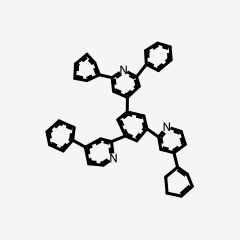 C1=CCCC(c2ccnc(-c3cc(-c4cc(-c5ccccc5)nc(-c5ccccc5)c4)cc(-c4cc(-c5ccccc5)ccn4)c3)c2)=C1